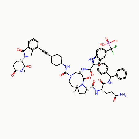 NC(=O)CC[C@H](NC(=O)[C@@H]1CC[C@@H]2CCN(C(=O)NC3CCC(C#Cc4cccc5c4CN([C@H]4CCC(=O)NC4=O)C5=O)CC3)C[C@H](NC(=O)c3cc4cc(C(F)(F)P(=O)(O)O)ccc4[nH]3)C(=O)N21)C(=O)NC(c1ccccc1)c1ccccc1